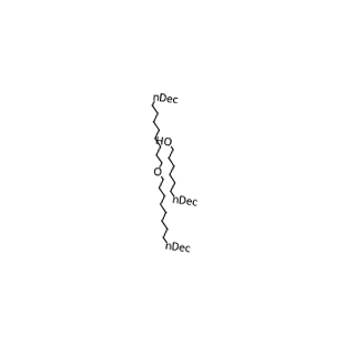 CCCCCCCCCCCCCCCCCCOCCCCCCCCCCCCCCCCCC.CCCCCCCCCCCCCCCCO